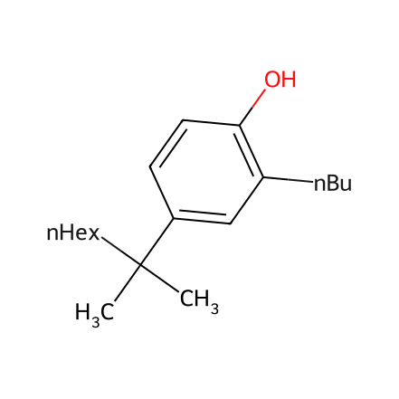 CCCCCCC(C)(C)c1ccc(O)c(CCCC)c1